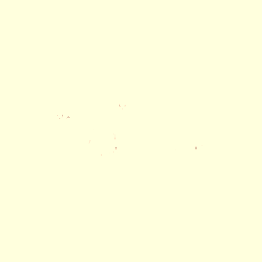 CCCOCCCc1c[c]cc(OC)c1OC